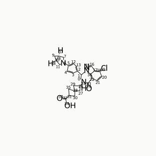 CC(c1ccc(N2C[C@@H]3C[C@H]3C2)cc1)n1ncc2c(Cl)ccc(C(=O)NC3CC4(C3)CC(C(=O)O)C4)c21